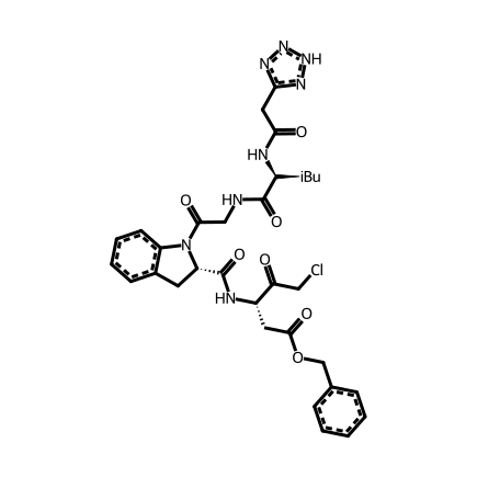 CC[C@H](C)[C@H](NC(=O)Cc1nn[nH]n1)C(=O)NCC(=O)N1c2ccccc2C[C@H]1C(=O)N[C@@H](CC(=O)OCc1ccccc1)C(=O)CCl